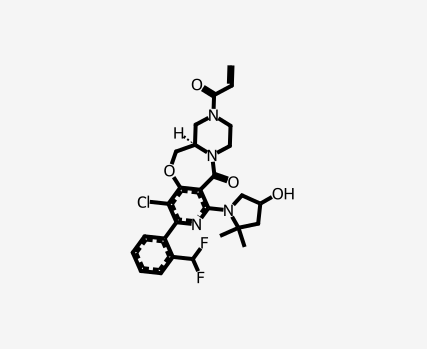 C=CC(=O)N1CCN2C(=O)c3c(N4CC(O)CC4(C)C)nc(-c4ccccc4C(F)F)c(Cl)c3OC[C@H]2C1